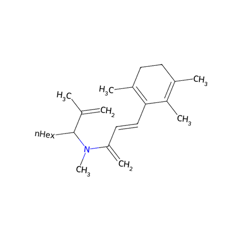 C=C(C)C(CCCCCC)N(C)C(=C)/C=C/C1=C(C)CCC(C)=C1C